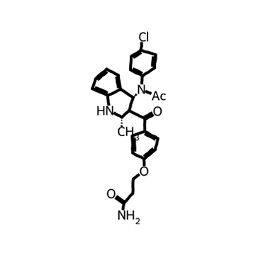 CC(=O)N(c1ccc(Cl)cc1)[C@H]1c2ccccc2N[C@@H](C)C1C(=O)c1ccc(OCCC(N)=O)cc1